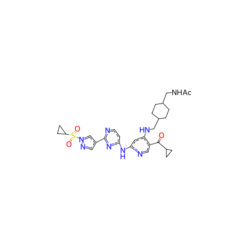 CC(=O)NCC1CCC(CNc2cc(Nc3ccnc(-c4cnn(S(=O)(=O)C5CC5)c4)n3)ncc2C(=O)C2CC2)CC1